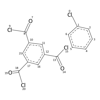 Clc1ccccc1.O=C(Cl)c1cc(C(=O)Cl)cc(C(=O)Cl)c1